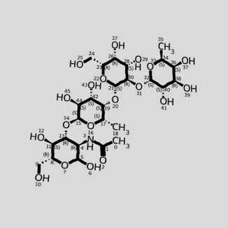 CC(=O)N[C@H]1C(O)O[C@H](CO)[C@@H](O)[C@@H]1O[C@@H]1O[C@@H](C)[C@@H](O[C@@H]2O[C@H](CO)[C@H](O)[C@H](O)[C@H]2O[C@@H]2O[C@@H](C)[C@@H](O)[C@@H](O)[C@@H]2O)[C@@H](O)[C@@H]1O